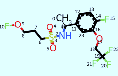 C[C@@H](NS(=O)(=O)CCCOF)c1ccc(F)c(OCC(F)(F)F)c1